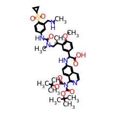 CNCc1cc(NC(=O)N(C)C[C@@H](C)c2cc(C(Nc3ccc4c(N(C(=O)OC(C)(C)C)C(=O)OC(C)(C)C)nccc4c3)C(=O)O)ccc2OC)ccc1S(=O)(=O)C1CC1